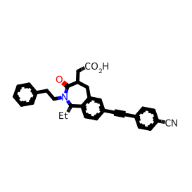 CCC1c2ccc(C#Cc3ccc(C#N)cc3)cc2CC(CC(=O)O)C(=O)N1CCc1ccccc1